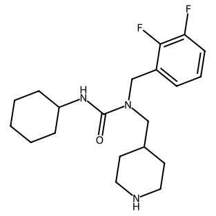 O=C(NC1CCCCC1)N(Cc1cccc(F)c1F)CC1CCNCC1